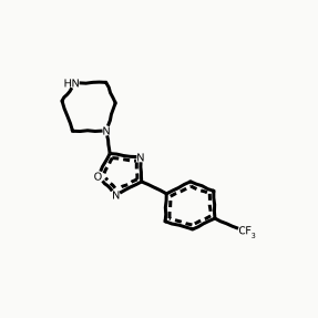 FC(F)(F)c1ccc(-c2noc(N3CCNCC3)n2)cc1